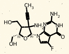 CC#CC1(N)C(CO)[C@@H](CO)O[C@H]1n1cc(F)c2c(=O)[nH]c(N)nc21